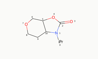 CC(C)N1C(=O)OC2COCCC21